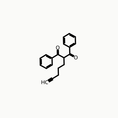 C#CCCCC(C(=O)c1ccccc1)C(=O)c1ccccc1